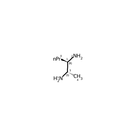 CCC[C@@H](N)[C@H](C)N